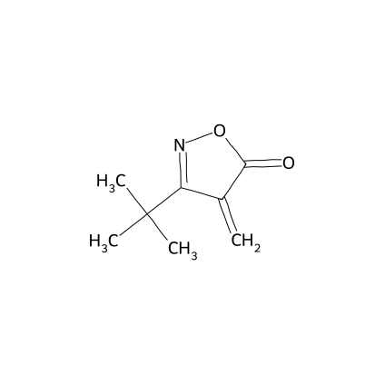 C=C1C(=O)ON=C1C(C)(C)C